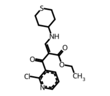 CCOC(=O)C(=CNC1CCSCC1)C(=O)c1cccnc1Cl